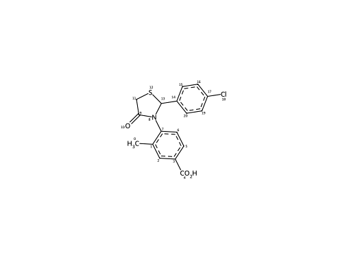 Cc1cc(C(=O)O)ccc1N1C(=O)CSC1c1ccc(Cl)cc1